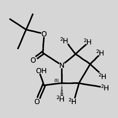 [2H]C1([2H])N(C(=O)OC(C)(C)C)[C@]([2H])(C(=O)O)C([2H])([2H])C1([2H])[2H]